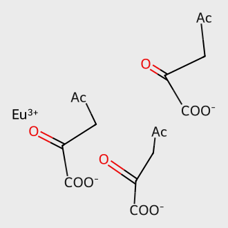 CC(=O)CC(=O)C(=O)[O-].CC(=O)CC(=O)C(=O)[O-].CC(=O)CC(=O)C(=O)[O-].[Eu+3]